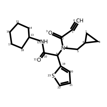 C#CC(=O)N(CC1CC1)C(C(=O)NC1CCCCC1)c1cccs1